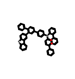 c1ccc(-c2ccc(N(c3ccc(-c4ccc(-c5ccccc5)c(-c5ccc6sc7ccccc7c6c5)c4)cc3)c3ccccc3-c3ccccc3)cc2)cc1